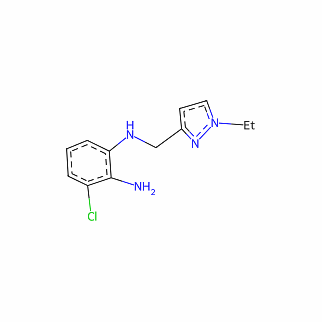 CCn1ccc(CNc2cccc(Cl)c2N)n1